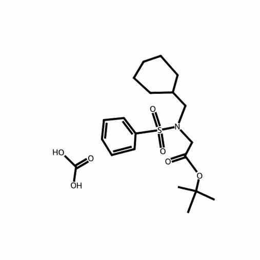 CC(C)(C)OC(=O)CN(CC1CCCCC1)S(=O)(=O)c1ccccc1.O=C(O)O